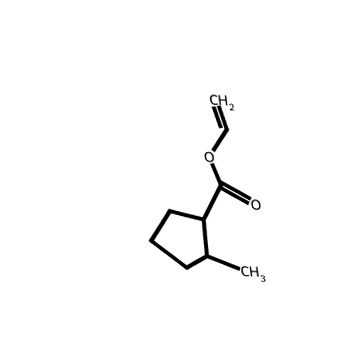 C=COC(=O)C1CCCC1C